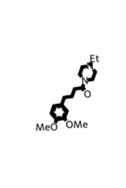 CCN1CCN(C(=O)CCCc2ccc(OC)c(OC)c2)CC1